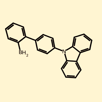 Bc1ccccc1-c1ccc(-n2c3ccccc3c3ccccc32)cc1